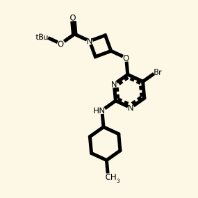 CC1CCC(Nc2ncc(Br)c(OC3CN(C(=O)OC(C)(C)C)C3)n2)CC1